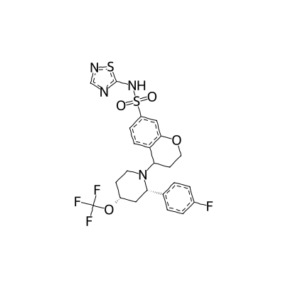 O=S(=O)(Nc1ncns1)c1ccc2c(c1)OCCC2N1CC[C@@H](OC(F)(F)F)C[C@H]1c1ccc(F)cc1